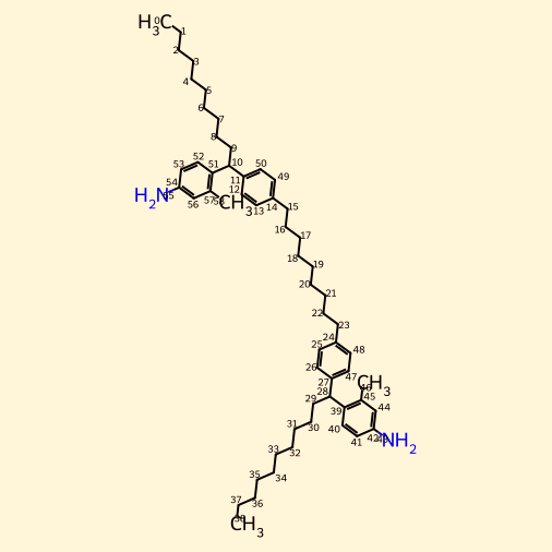 CCCCCCCCCCC(c1ccc(CCCCCCCCCc2ccc(C(CCCCCCCCCC)c3ccc(N)cc3C)cc2)cc1)c1ccc(N)cc1C